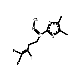 Cc1nc(/S(CCC(F)=C(F)F)=N\C#N)sc1C